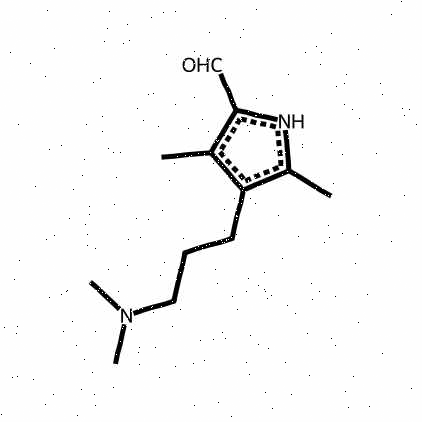 Cc1[nH]c(C=O)c(C)c1CCCN(C)C